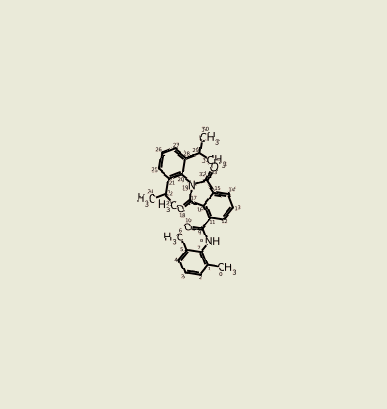 Cc1cccc(C)c1NC(=O)c1cccc2c1C(=O)N(c1c(C(C)C)cccc1C(C)C)C2=O